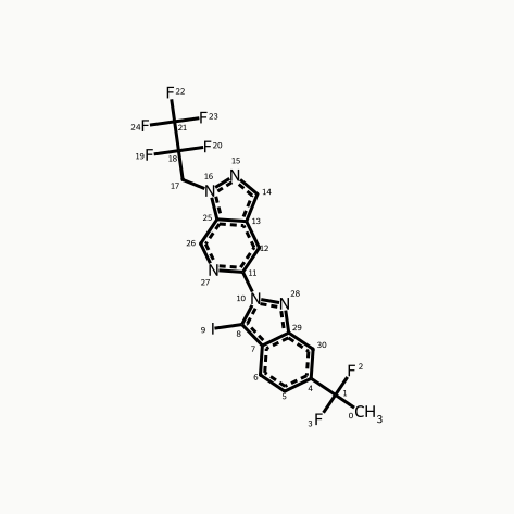 CC(F)(F)c1ccc2c(I)n(-c3cc4cnn(CC(F)(F)C(F)(F)F)c4cn3)nc2c1